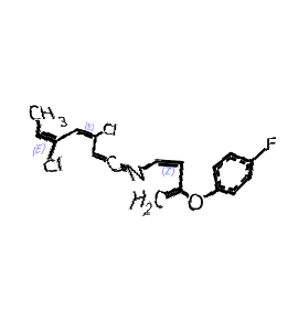 C=C(/C=C\N=C=C/C(Cl)=C\C(Cl)=C/C)Oc1ccc(F)cc1